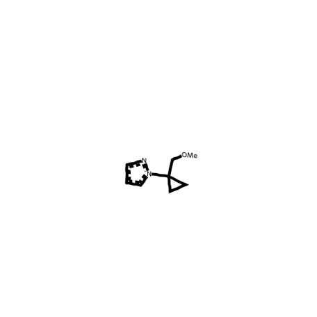 COCC1(n2cccn2)CC1